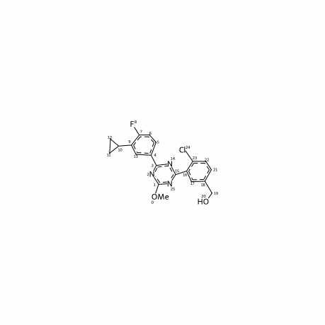 COc1nc(-c2ccc(F)c(C3CC3)c2)nc(-c2cc(CO)ccc2Cl)n1